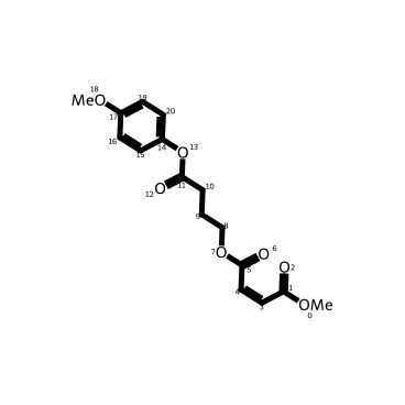 COC(=O)/C=C\C(=O)OCCCC(=O)Oc1ccc(OC)cc1